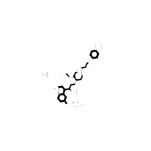 COc1ccc2nccc([C@H](O)CC[C@@H]3CCN(CCCSc4ccc(C(F)(F)F)cc4)C[C@H]3CCC(=O)O)c2c1